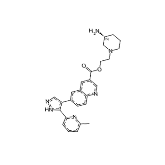 Cc1cccc(-c2[nH]ncc2-c2ccc3ncc(C(=O)OCCN4CCC[C@H](N)C4)cc3c2)n1